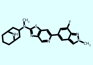 CN(c1nc2cnc(-c3cc(F)c4nn(C)cc4c3)cc2s1)C1CC2CCCC(C1)N2